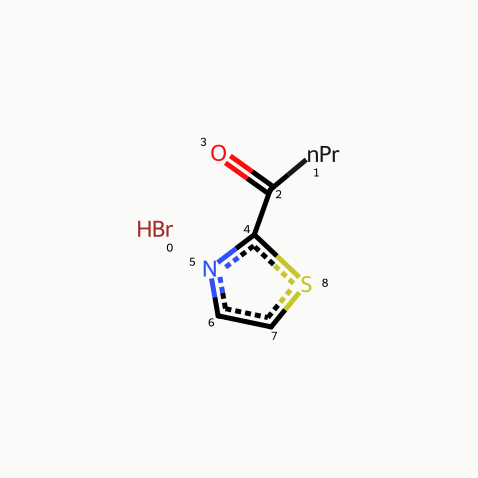 Br.CCCC(=O)c1nccs1